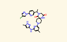 Cc1cc(Nc2cc(C)[nH]n2)nc(N2CCC3(CC2)NC(=O)CN(C(C)c2ccc(-n4cc(F)cn4)nc2)C3=O)c1